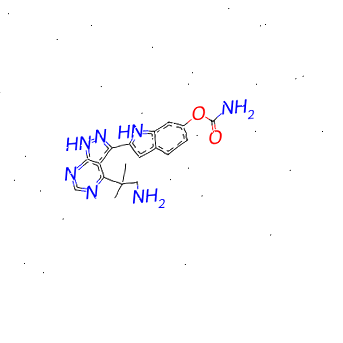 CC(C)(CN)c1ncnc2[nH]nc(-c3cc4ccc(OC(N)=O)cc4[nH]3)c12